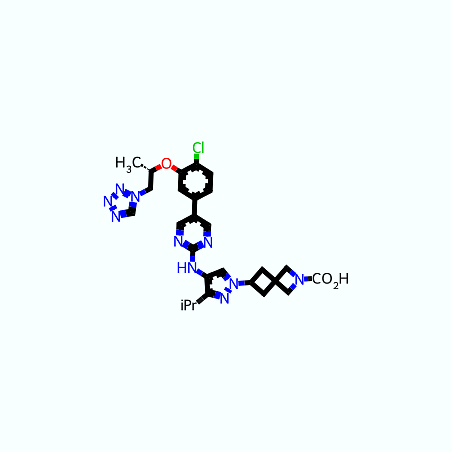 CC(C)c1nn(C2CC3(C2)CN(C(=O)O)C3)cc1Nc1ncc(-c2ccc(Cl)c(O[C@@H](C)Cn3cnnn3)c2)cn1